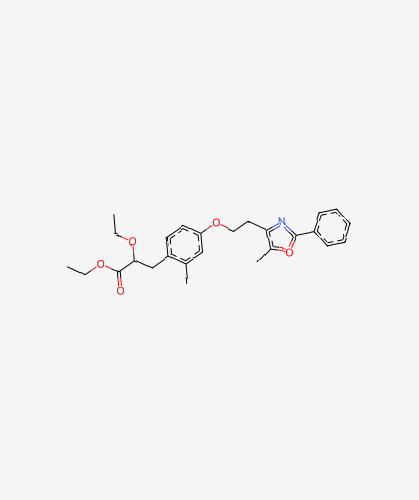 CCOC(=O)C(Cc1ccc(OCCc2nc(-c3ccccc3)oc2C)cc1C)OCC